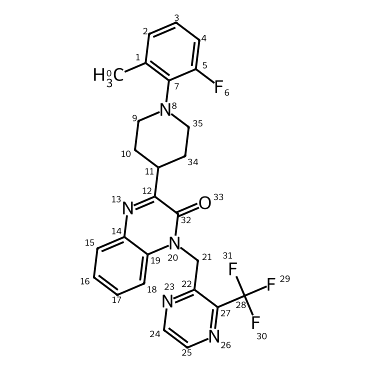 Cc1cccc(F)c1N1CCC(c2nc3ccccc3n(Cc3nccnc3C(F)(F)F)c2=O)CC1